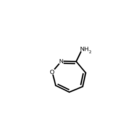 NC1=NOC=CC=C1